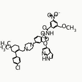 COCc1cc(C(=O)NS(=O)(=O)c2ccc(N3CCN(CC4=C(c5ccc(Cl)cc5)CC(C)(C)CC4)CC3)cc2Oc2cnc3[nH]ccc3c2)cc([N+](=O)[O-])c1